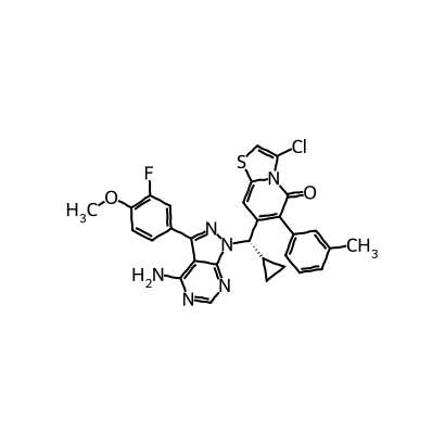 COc1ccc(-c2nn([C@H](c3cc4scc(Cl)n4c(=O)c3-c3cccc(C)c3)C3CC3)c3ncnc(N)c23)cc1F